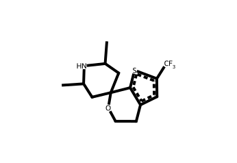 CC1CC2(CC(C)N1)OCCc1cc(C(F)(F)F)sc12